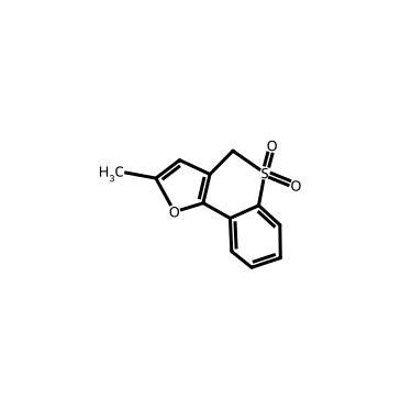 Cc1cc2c(o1)-c1ccccc1S(=O)(=O)C2